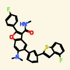 CNC(=O)c1c(-c2ccc(F)cc2)oc2cc(N(C)C)c(-c3cccc(-c4cc5c(F)cccc5s4)c3)cc12